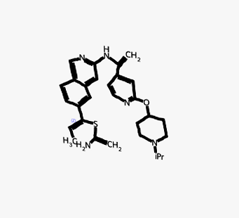 C=C(N)S/C(=C\C)c1ccc2cnc(NC(=C)c3ccnc(OC4CCN(C(C)C)CC4)c3)cc2c1